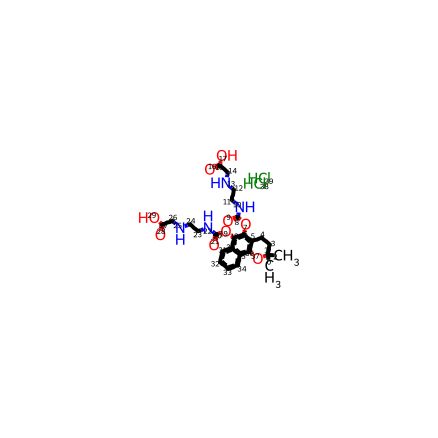 CC1(C)CCc2c(OC(=O)NCCNCC(=O)O)c(OC(=O)NCCNCC(=O)O)c3ccccc3c2O1.Cl.Cl